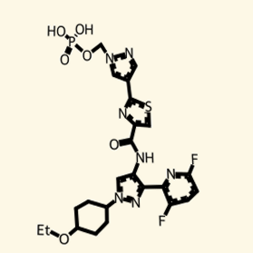 CCOC1CCC(n2cc(NC(=O)c3csc(-c4cnn(COP(=O)(O)O)c4)n3)c(-c3nc(F)ccc3F)n2)CC1